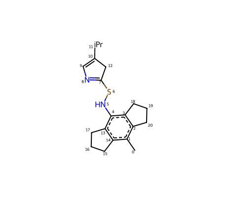 Cc1c2c(c(NSC3=NC=C(C(C)C)C3)c3c1CCC3)CCC2